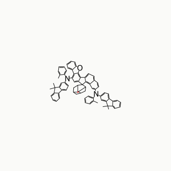 Cc1ccccc1N(c1ccc2c(c1)C(C)(C)c1ccccc1-2)c1ccc2ccc3c(c2c1)C1(c2cc(N(c4ccc5c(c4)C(C)(C)c4ccccc4-5)c4ccccc4C)c4c(oc5ccccc54)c2-3)C2CC3CC(C2)CC1C3